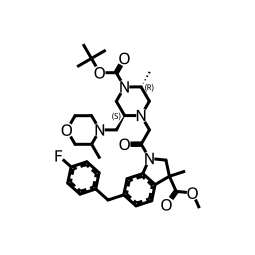 COC(=O)C1(C)CN(C(=O)CN2C[C@@H](C)N(C(=O)OC(C)(C)C)C[C@@H]2CN2CCOCC2C)c2cc(Cc3ccc(F)cc3)ccc21